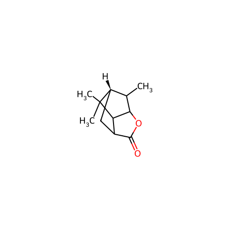 CC1C2OC(=O)C3C[C@@H]1C(C)(C)C32